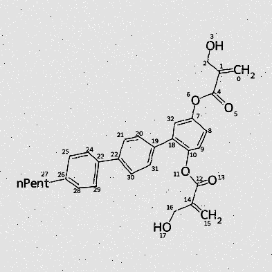 C=C(CO)C(=O)Oc1ccc(OC(=O)C(=C)CO)c(-c2ccc(-c3ccc(CCCCC)cc3)cc2)c1